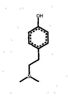 C[Si](C)CCc1ccc(O)cc1